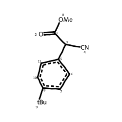 COC(=O)C(C#N)c1ccc(C(C)(C)C)cc1